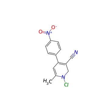 CC1=CC(c2ccc([N+](=O)[O-])cc2)=C(C#N)CN1Cl